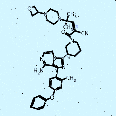 Cc1cc(Oc2ccccc2)ccc1-c1nc([C@@H]2CCCN(C(=O)/C(C#N)=C\C(C)(C)N3CCN(C4COC4)CC3)C2)n2ccnc(N)c12